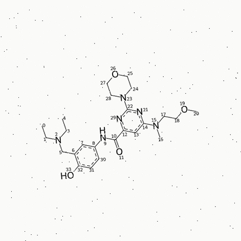 CCN(CC)Cc1cc(NC(=O)c2cc(N(C)CCOC)nc(N3CCOCC3)n2)ccc1O